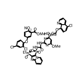 CCS(=O)(=O)c1nc2ccccn2c1S(=O)(=O)NC(=O)Nc1nc(OC)cc(OC)n1.COC(=O)c1cc(Oc2ccc(Cl)cc2Cl)ccc1[N+](=O)[O-].O=C(O)COc1ccc(Cl)c2cccnc12